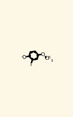 [O]c1ccc(OC(F)(F)F)cc1I